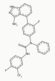 Nc1n[nH]c2cccc(-c3ccc(N(C(=O)Nc4ccc(F)c(C(F)(F)F)c4)c4ccccc4)cc3F)c12